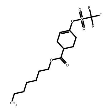 CCCCCCCOC(=O)C1CC=C(OS(=O)(=O)C(F)(F)F)CC1